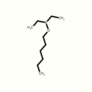 CCCCCCOB(CC)CC